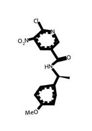 COc1ccc([C@H](C)NC(=O)c2cnc(Cl)c([N+](=O)[O-])c2)cc1